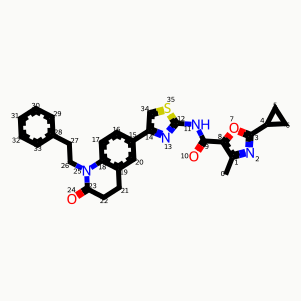 Cc1nc(C2CC2)oc1C(=O)Nc1nc(-c2ccc3c(c2)CCC(=O)N3CCc2ccccc2)cs1